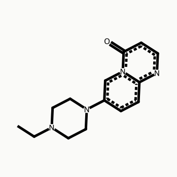 CCN1CCN(c2ccc3nccc(=O)n3c2)CC1